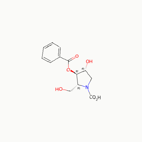 O=C(O[C@H]1[C@H](O)CN(C(=O)O)[C@@H]1CO)c1ccccc1